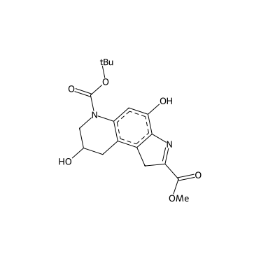 COC(=O)C1=Nc2c(O)cc3c(c2C1)CC(O)CN3C(=O)OC(C)(C)C